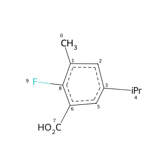 Cc1cc(C(C)C)cc(C(=O)O)c1F